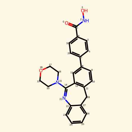 O=C(NO)c1ccc(-c2ccc3c(c2)C(N2CCOCC2)=Nc2ccccc2C3)cc1